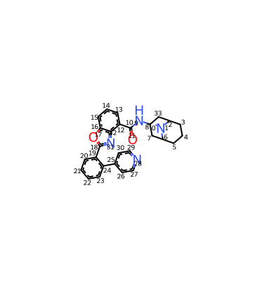 CN1C2CCCC1CC(NC(=O)c1cccc3oc(-c4ccccc4-c4ccncc4)nc13)C2